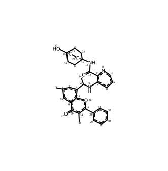 Cc1cc(C(C)Nc2cccnc2C(=O)NC23CCC(O)(CC2)CC3)c2oc(-c3ccccc3)c(C)c(=O)c2c1